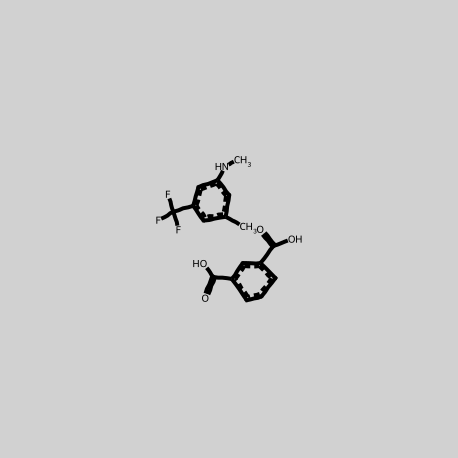 CNc1cc(C)cc(C(F)(F)F)c1.O=C(O)c1cccc(C(=O)O)c1